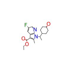 CCOC(=O)c1c(C)n(C(C)C2CCC(=O)CC2)c2ncc(F)cc12